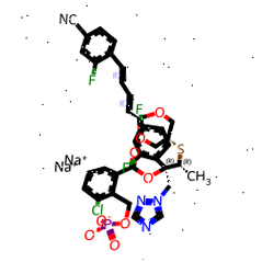 C[C@@H](S[C@H]1CO[C@H](/C=C/C=C/c2ccc(C#N)cc2F)OC1)[C@@](Cn1cncn1)(OC(=O)c1cccc(Cl)c1COP(=O)([O-])[O-])c1ccc(F)cc1F.[Na+].[Na+]